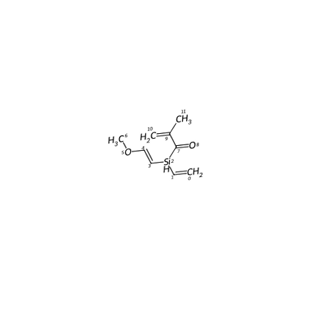 C=C[SiH](C=COC)C(=O)C(=C)C